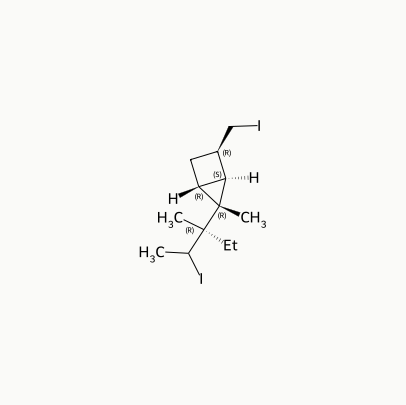 CC[C@@](C)(C(C)I)[C@@]1(C)[C@@H]2[C@H](CI)C[C@H]21